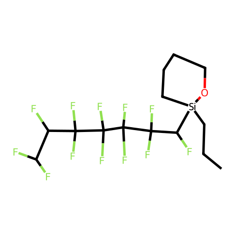 CCC[Si]1(C(F)C(F)(F)C(F)(F)C(F)(F)C(F)(F)C(F)C(F)F)CCCCO1